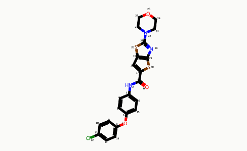 O=C(Nc1ccc(Oc2ccc(Cl)cc2)cc1)c1cc2sc(N3CCOCC3)nc2s1